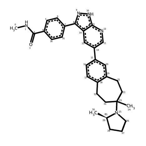 CNC(=O)c1ccc(-c2n[nH]c3ncc(-c4ccc5c(c4)CCC(C)(N4CCC[C@H]4C)CC5)cc23)cc1